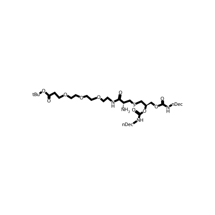 CCCCCCCCCCNC(=O)OC[C@H](CSC[C@H](N)C(=O)NCCOCCOCCOCCC(=O)OC(C)(C)C)OC(=O)NCCCCCCCCCC